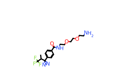 CC(C(F)(F)F)C1(c2ccc(C(=O)NCCOCCOCCN)cc2)N=N1